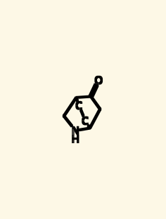 O=C1CC2CCC1CN2